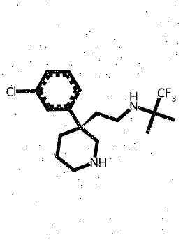 CC(C)(NCC[C@]1(c2cccc(Cl)c2)CCCNC1)C(F)(F)F